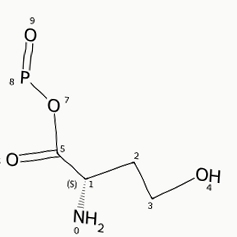 N[C@@H](CCO)C(=O)OP=O